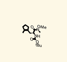 CON(C)C(=O)[C@H](CC1=C(C)CCC1)NC(=O)OC(C)(C)C